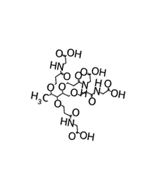 CC(OCCC(=O)NCC(=O)O)C(OCCC(=O)NCC(=O)O)C(COCCC(=O)NCC(=O)O)OCCC(=O)NCC(=O)O